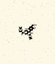 CC(C)(C)OC(=O)NC(c1cc(Cl)c(CO)cc1O)C1CCN(C(=O)[C@H]2COC(C)(C)O2)CC1